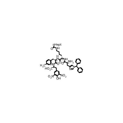 CCCCCCCC(=O)NCCCC[C@H](NC(=O)[C@@H](N)Cc1cn(C(c2ccccc2)c2ccccc2)cn1)C(=O)N[C@H](Cc1ccc(C)cc1)C(=O)NC(Cc1cc([N+](=O)[O-])c(O)c([N+](=O)[O-])c1)C(=O)O